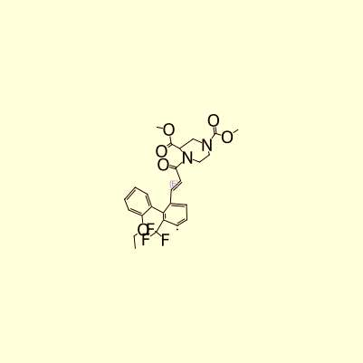 CCOc1ccccc1-c1c(C(F)(F)F)[c]ccc1/C=C/C(=O)N1CCN(C(=O)OC)CC1C(=O)OC